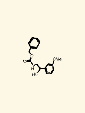 COc1cccc(C(O)CNC(=O)OCc2ccccc2)c1